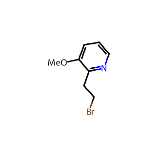 COc1cccnc1CCBr